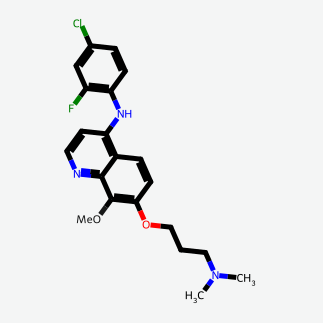 COc1c(OCCCN(C)C)ccc2c(Nc3ccc(Cl)cc3F)ccnc12